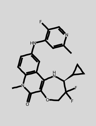 Cc1cc(Nc2ccc3c(c2)c2c(c(=O)n3C)OCC(F)(F)[C@H](C3CC3)N2)c(F)cn1